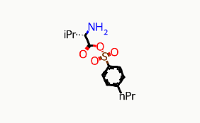 CCCc1ccc(S(=O)(=O)OC(=O)[C@@H](N)C(C)C)cc1